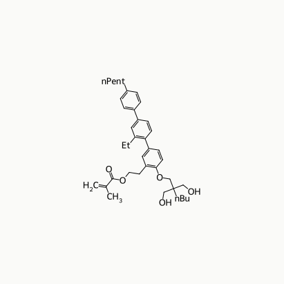 C=C(C)C(=O)OCCc1cc(-c2ccc(-c3ccc(CCCCC)cc3)cc2CC)ccc1OCC(CO)(CO)CCCC